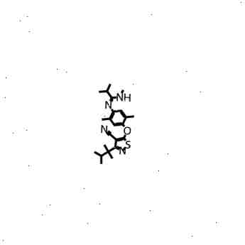 CNC(=Nc1cc(C)c(Oc2snc(C(C)(C)C(C)C)c2C#N)cc1C)C(C)C